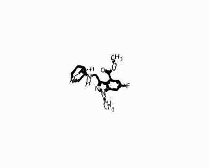 COC(=O)c1cc(F)cc2c1c(CN[C@H]1CN3CCC1CC3)nn2C